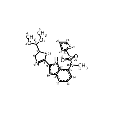 COC(OC)C1CN=C(c2cc3cccc(N(C)S(=O)(=O)c4cccs4)c3[nH]2)S1